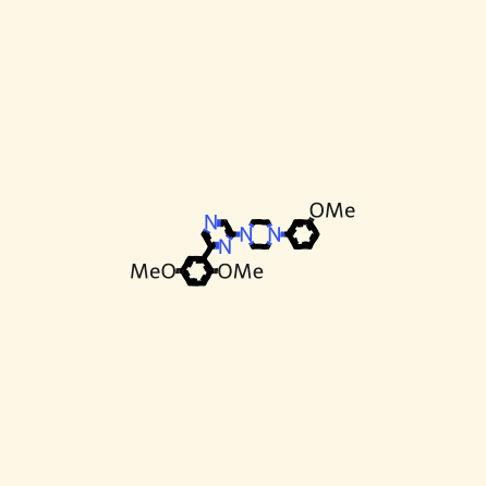 COc1cccc(N2CCN(c3cncc(-c4cc(OC)ccc4OC)n3)CC2)c1